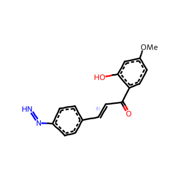 COc1ccc(C(=O)/C=C/c2ccc(N=N)cc2)c(O)c1